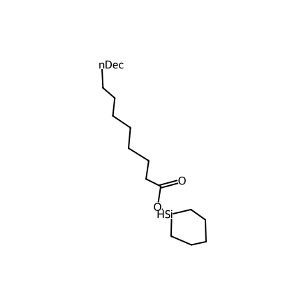 CCCCCCCCCCCCCCCCCC(=O)O[SiH]1CCCCC1